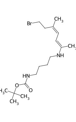 C/C(=C/C=C(\C)NCCCCNC(=O)OC(C)(C)C)CCBr